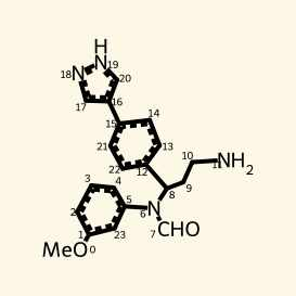 COc1cccc(N(C=O)C(CCN)c2ccc(-c3cn[nH]c3)cc2)c1